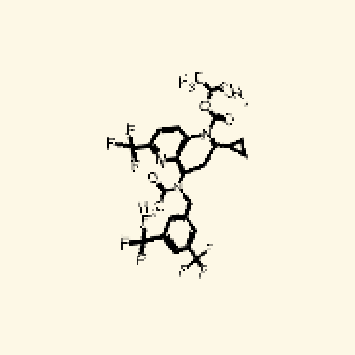 CC(=O)N(Cc1cc(C(F)(F)F)cc(C(F)(F)F)c1)C1CC(C2CC2)N(C(=O)OC(C)C)c2ccc(C(F)(F)F)nc21